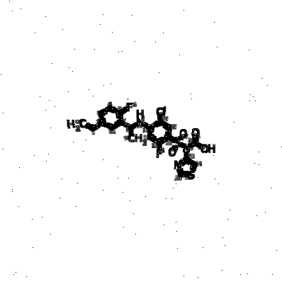 C=Cc1ccc(F)c(C(C)Nc2cc(F)c(S(=O)(=O)N(C(=O)O)c3cscn3)cc2Cl)c1